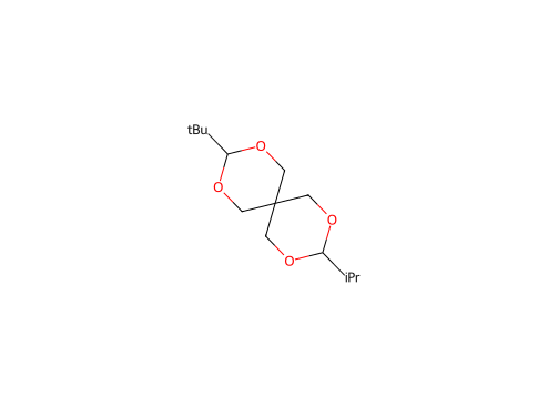 CC(C)C1OCC2(CO1)COC(C(C)(C)C)OC2